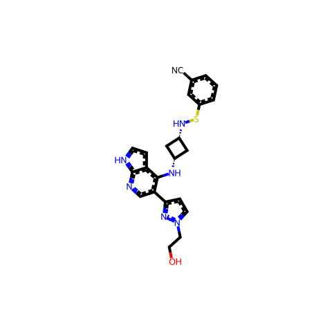 N#Cc1cccc(SN[C@H]2C[C@@H](Nc3c(-c4ccn(CCO)n4)cnc4[nH]ccc34)C2)c1